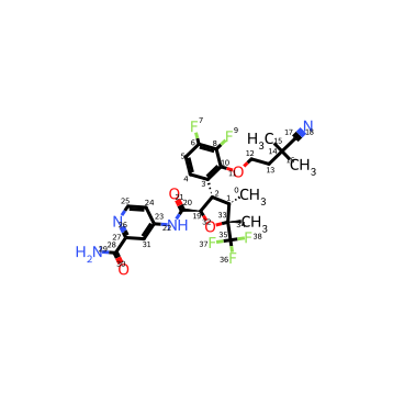 C[C@H]1[C@@H](c2ccc(F)c(F)c2OCCC(C)(C)C#N)[C@H](C(=O)Nc2ccnc(C(N)=O)c2)O[C@@]1(C)C(F)(F)F